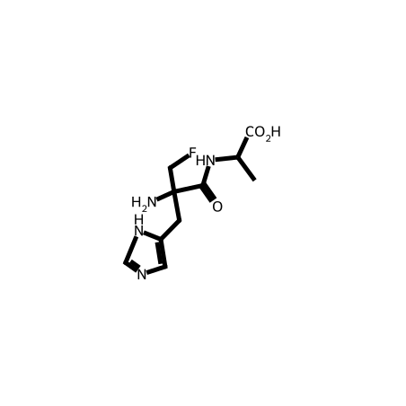 CC(NC(=O)C(N)(CF)Cc1cnc[nH]1)C(=O)O